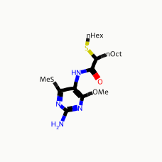 CCCCCCCCC(SCCCCCC)C(=O)Nc1c(OC)nc(N)nc1SC